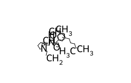 C=CCN1CCC[C@@]1(C)CNC(=O)c1cc(CCCC(C)C)cc(C)c1OC